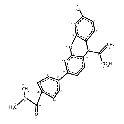 C=C(C(=O)O)C1c2ccc(Cl)nc2Oc2nc(-c3ccc(C(=O)N(C)C)cc3)ccc21